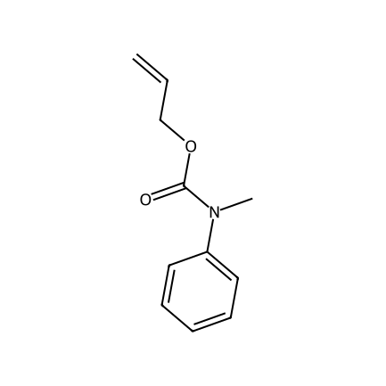 C=CCOC(=O)N(C)c1ccccc1